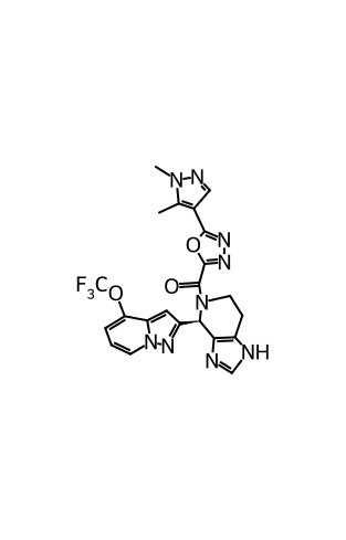 Cc1c(-c2nnc(C(=O)N3CCc4[nH]cnc4[C@H]3c3cc4c(OC(F)(F)F)cccn4n3)o2)cnn1C